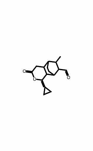 CC1C(C=O)C2CCC1C1CC(=O)OC(=C3CC3)C21